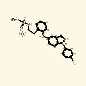 CCCC(C)S(=O)(=O)N[C@@H](C)Cc1ccccc1Oc1ccc2c(cnn2-c2ccc(F)cc2)c1